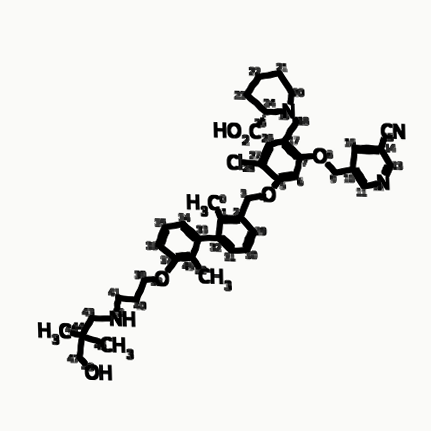 Cc1c(COc2cc(OCc3cncc(C#N)c3)c(CN3CCCC[C@H]3C(=O)O)cc2Cl)cccc1-c1cccc(OCCCNCC(C)(C)CO)c1C